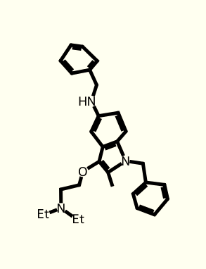 CCN(CC)CCOc1c(C)n(Cc2ccccc2)c2ccc(NCc3ccccc3)cc12